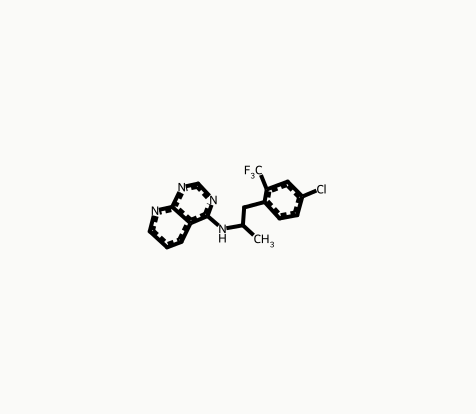 CC(Cc1ccc(Cl)cc1C(F)(F)F)Nc1ncnc2ncccc12